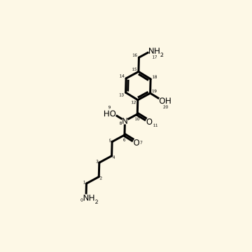 NCCCCCC(=O)N(O)C(=O)c1ccc(CN)cc1O